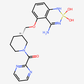 NC1=NS(O)(O)Nc2cccc(OC[C@H]3CCCN(C(=O)c4ncccn4)C3)c21